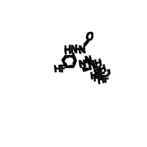 B.F.F.F.F.O=C=NNc1ccccc1.c1c[nH]nn1